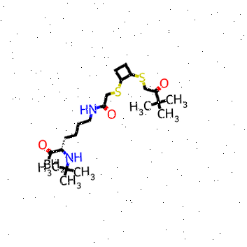 BC(=O)[C@H](CCCCNC(=O)CSC1CCC1SCC(=O)C(C)(C)C)NC(C)(C)C